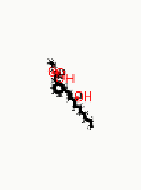 CCCCCCCC(O)C=CC1CCCC(O)(CC(=O)OCC)C1